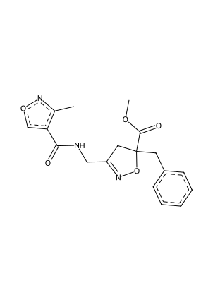 COC(=O)C1(Cc2ccccc2)CC(CNC(=O)c2conc2C)=NO1